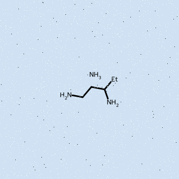 CCC(N)CCN.N